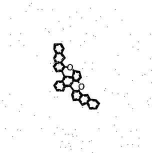 c1ccc2cc3c4c(ccc3cc2c1)-c1c2ccccc2c2c3c(ccc(c13)O4)Oc1c-2ccc2cc3ccccc3cc12